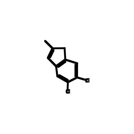 CC1=Cc2cc(Cl)c(Cl)cc2C1